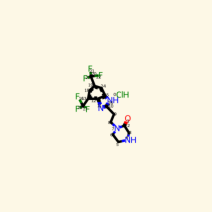 Cl.O=C1CNCCN1CCc1nc2c(C(F)(F)F)cc(C(F)(F)F)cc2[nH]1